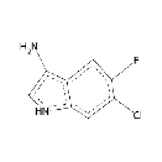 Nc1c[nH]c2cc(Cl)c(F)cc12